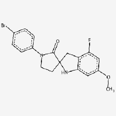 COc1cc(F)c2c(c1)NC1(CCN(c3ccc(Br)cc3)C1=O)C2